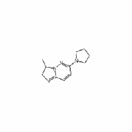 CC1CN=C2C=CC(N3CCCC3)=NN21